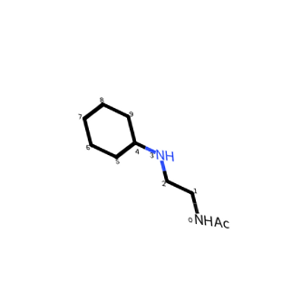 CC(=O)NCCNC1CCCCC1